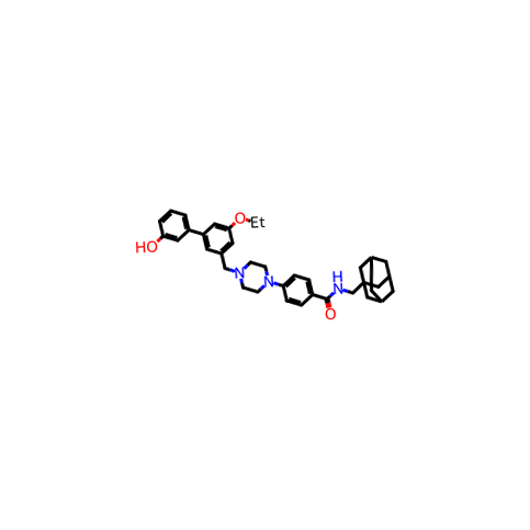 CCOc1cc(CN2CCN(c3ccc(C(=O)NCC45CC6CC(CC(C6)C4)C5)cc3)CC2)cc(-c2cccc(O)c2)c1